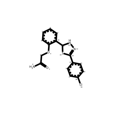 NC(=O)COc1ccccc1C1NN=C(c2ccc(Cl)cc2)S1